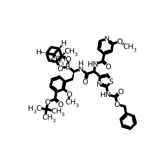 COc1cc(C(=O)NC(C(=O)N[C@@H](Cc2cccc(C(=O)OC(C)(C)C)c2OC)B2OC3C[C@H]4C[C@@H](C4(C)C)[C@]3(C)O2)c2csc(NC(=O)OCc3ccccc3)n2)ccn1